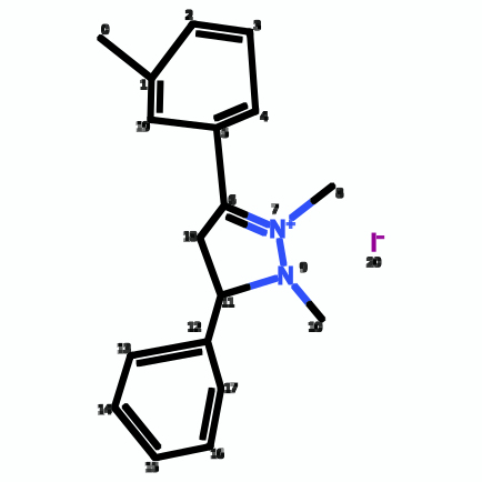 Cc1cccc(C2=[N+](C)N(C)C(c3ccccc3)C2)c1.[I-]